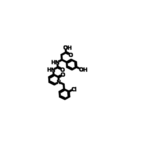 O=C(O)CC(NC(=O)Nc1cccn(Cc2ccccc2Cl)c1=O)c1ccc(O)cc1